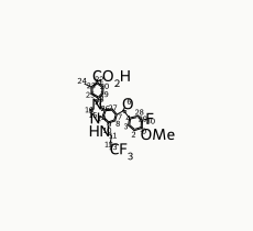 COc1ccc(C(=O)c2cc(NCCC(F)(F)F)c3ncn(-c4ccc(C(=O)O)c(C)c4)c3c2)cc1F